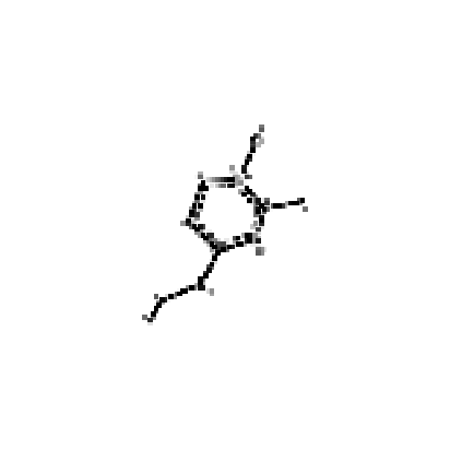 CCSc1cc[n+]([O-])c(C)n1